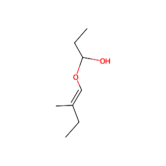 CC/C(C)=C/OC(O)CC